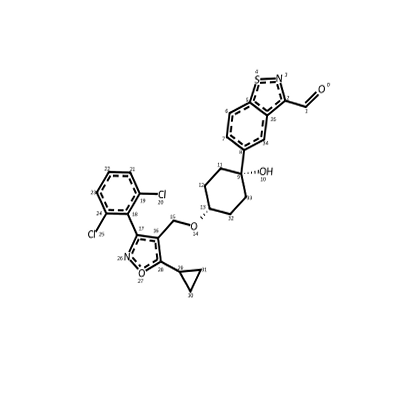 O=Cc1nsc2ccc([C@]3(O)CC[C@@H](OCc4c(-c5c(Cl)cccc5Cl)noc4C4CC4)CC3)cc12